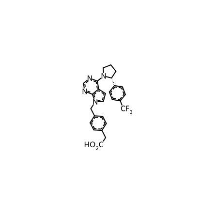 O=C(O)Cc1ccc(Cn2ccc3c(N4CCC[C@@H]4c4ccc(C(F)(F)F)cc4)ncnc32)cc1